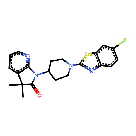 CC1(C)C(=O)N(C2CCN(c3nc4ccc(F)cc4s3)CC2)c2ncccc21